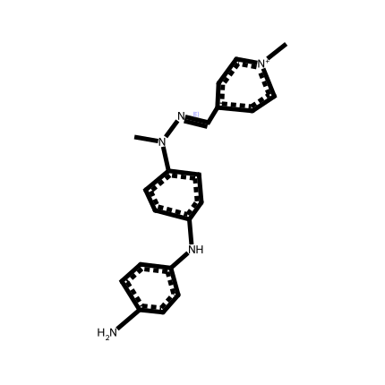 CN(/N=C/c1cc[n+](C)cc1)c1ccc(Nc2ccc(N)cc2)cc1